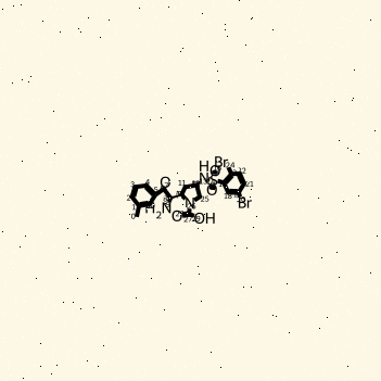 Cc1cccc(C(=O)C(N)[C@H]2C[C@@H](NS(=O)(=O)c3cc(Br)ccc3Br)CN2C(=O)O)c1